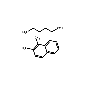 Cc1ccc2ccccc2c1C.O=C(O)CCCCC(=O)O